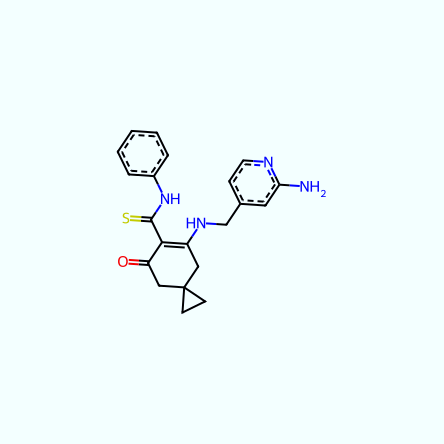 Nc1cc(CNC2=C(C(=S)Nc3ccccc3)C(=O)CC3(CC3)C2)ccn1